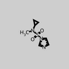 CN(C1CC1)S(=O)(=O)n1ccnc1